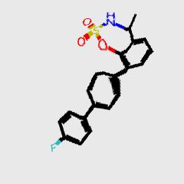 CC1NS(=O)(=O)Oc2c(-c3ccc(-c4ccc(F)cc4)cc3)cccc21